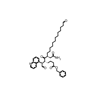 NC(=O)C[C@H](CCCCCCCCCCCCC=O)C(=O)[C@H](CCCC(=O)OCc1ccccc1)N(C=O)c1cccc2ncccc12